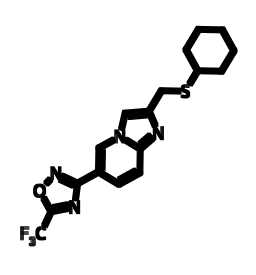 FC(F)(F)c1nc(-c2ccc3nc(CSC4CCCCC4)cn3c2)no1